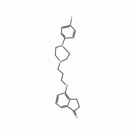 O=C1CCc2c(OCCCN3CCN(c4ccc(F)cc4)CC3)cccc21